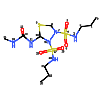 CCCNS(=O)(=O)N1CSC(NC(=O)NC)N1S(=O)(=O)NCCC